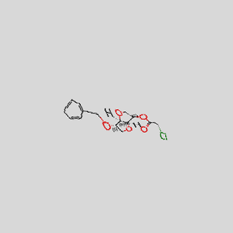 O=C(CCl)O[C@@H]1CO[C@H]2[C@@H]1OC[C@@H]2OCc1ccccc1